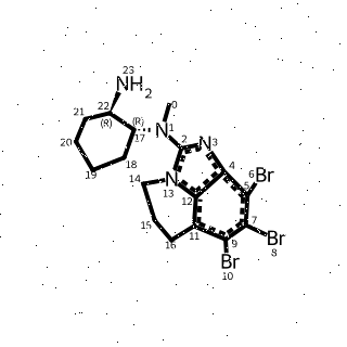 CN(c1nc2c(Br)c(Br)c(Br)c3c2n1CCC3)[C@@H]1CCCC[C@H]1N